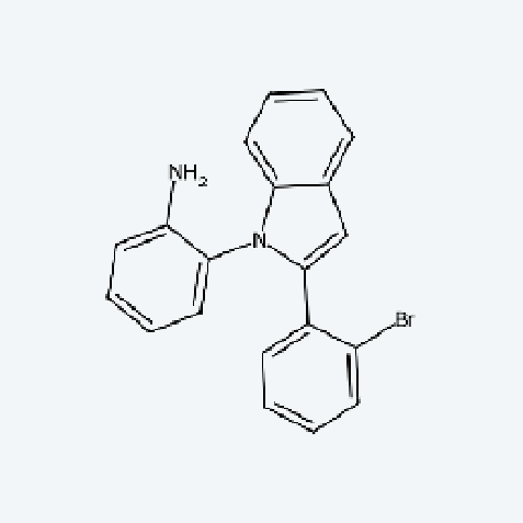 Nc1ccccc1-n1c(-c2ccccc2Br)cc2ccccc21